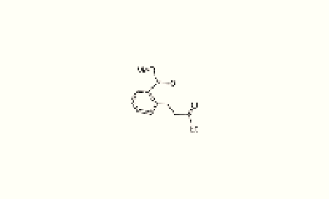 CCC(=O)CCc1ccccc1C(=O)OC